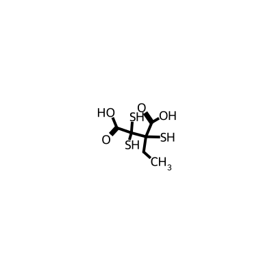 CCC(S)(C(=O)O)C(S)(S)C(=O)O